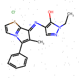 CCn1ncc(/N=C2\C(C)=C(c3ccccc3)[n+]3ccsc32)c1O.[Cl-]